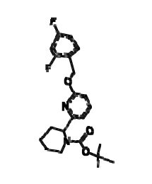 CC(C)(C)OC(=O)N1CCCCC1c1cccc(OCc2ccc(F)cc2F)n1